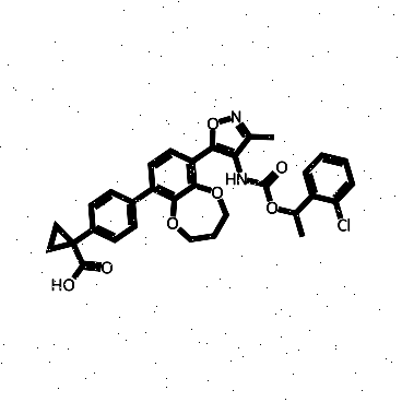 Cc1noc(-c2ccc(-c3ccc(C4(C(=O)O)CC4)cc3)c3c2OCCCO3)c1NC(=O)OC(C)c1ccccc1Cl